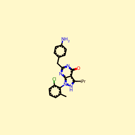 Cc1cccc(Cl)c1-n1[nH]c(C(C)C)c2c(=O)nc(Cc3ccc(N)cc3)nc1-2